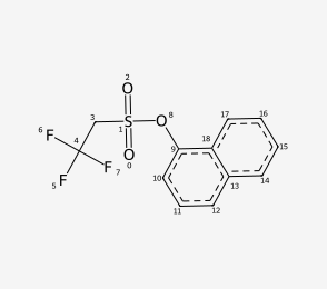 O=S(=O)(CC(F)(F)F)Oc1cccc2ccccc12